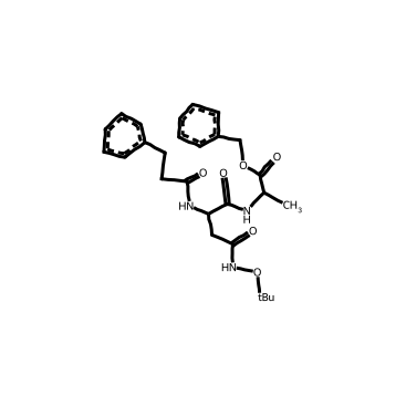 CC(NC(=O)C(CC(=O)NOC(C)(C)C)NC(=O)CCc1ccccc1)C(=O)OCc1ccccc1